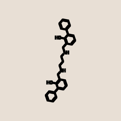 Oc1c(CNCCCNCc2cccc(-c3ccccc3)c2O)cccc1-c1ccccc1